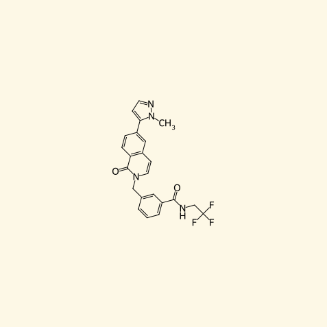 Cn1nccc1-c1ccc2c(=O)n(Cc3cccc(C(=O)NCC(F)(F)F)c3)ccc2c1